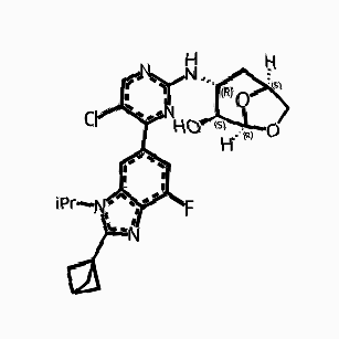 CC(C)n1c(C23CC(C2)C3)nc2c(F)cc(-c3nc(N[C@@H]4C[C@H]5CO[C@H](O5)[C@H]4O)ncc3Cl)cc21